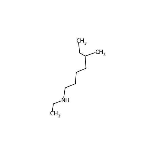 CCNCCCCC(C)CC